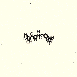 Cn1cc(C(=O)c2cncc(NC(=O)Cc3ccc(NS(=O)(=O)C(F)(F)F)cc3)c2)c2cncnc21